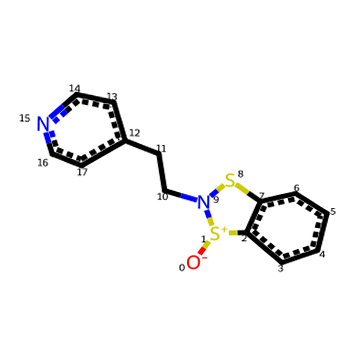 [O-][S+]1c2ccccc2SN1CCc1ccncc1